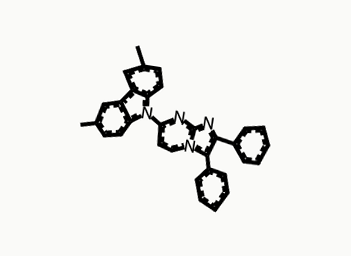 Cc1ccc2c(c1)c1cc(C)ccc1n2-c1ccn2c(-c3ccccc3)c(-c3ccccc3)nc2n1